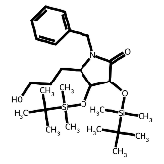 CC(C)(C)[Si](C)(C)OC1C(=O)N(Cc2ccccc2)C(CCCO)C1O[Si](C)(C)C(C)(C)C